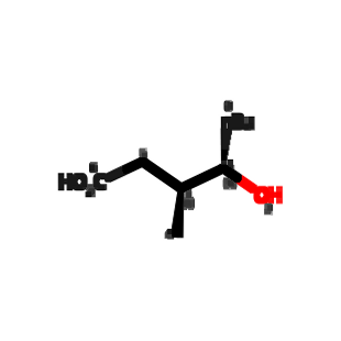 CCCC[C@H](O)[C@@H](C)CC(=O)O